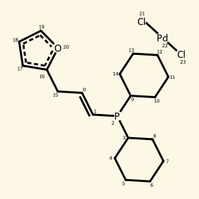 C(=CP(C1CCCCC1)C1CCCCC1)Cc1ccco1.[Cl][Pd][Cl]